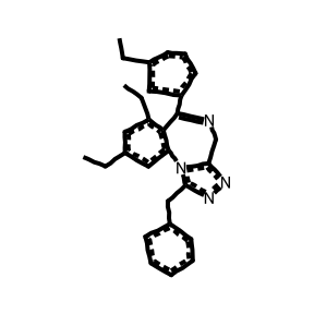 CCc1cccc(C2=NCc3nnc(Cc4ccccc4)n3-c3cc(CC)cc(CC)c32)c1